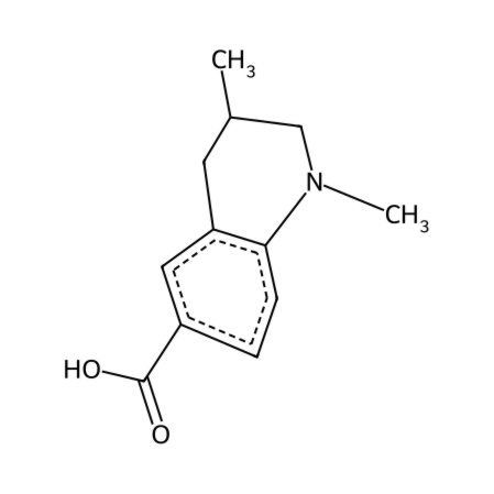 CC1Cc2cc(C(=O)O)ccc2N(C)C1